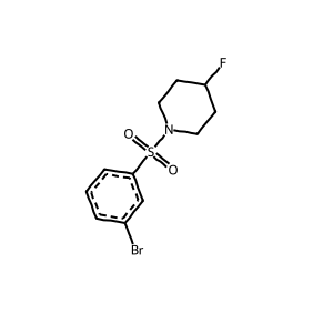 O=S(=O)(c1cccc(Br)c1)N1CCC(F)CC1